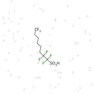 O=S(=O)(O)C(F)(F)C(F)(F)CCCCCC(F)(F)F